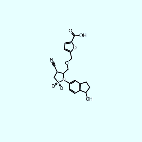 N#CC1CS(=O)(=O)N(c2ccc3c(c2)CCC3O)C1COCc1ccc(C(=O)O)o1